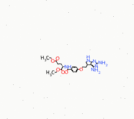 CCOC(=O)CC[C@@H](NC(=O)c1ccc(OCCC2CNc3nc(N)nc(N)c32)cc1)C(=O)OCC